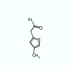 CCC(=O)Cc1cc(C)cs1